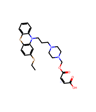 CCSc1ccc2c(c1)N(CCCN1CCN(COC(=O)/C=C\C(=O)O)CC1)c1ccccc1S2